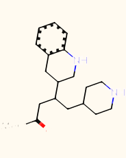 COC(=O)CC(CC1CCNCC1)C1CNc2ccccc2C1